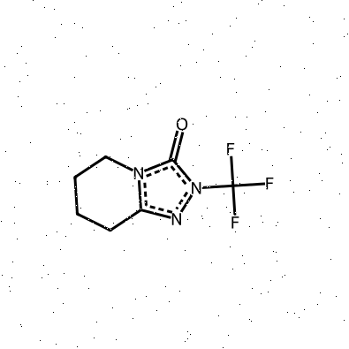 O=c1n(C(F)(F)F)nc2n1CCCC2